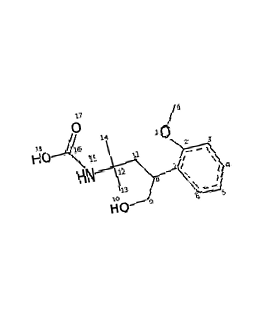 COc1ccccc1C(CO)CC(C)(C)NC(=O)O